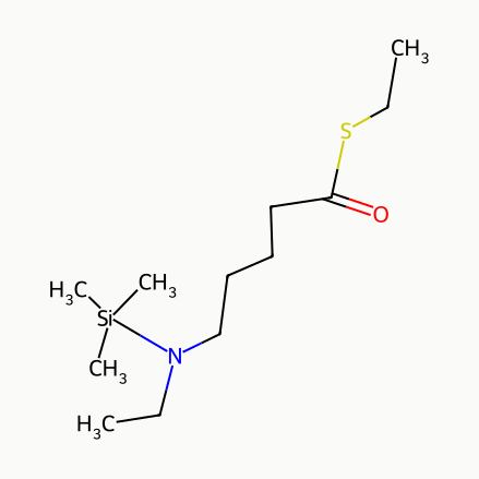 CCSC(=O)CCCCN(CC)[Si](C)(C)C